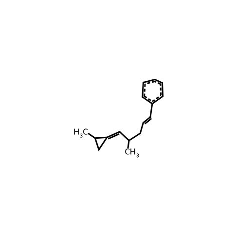 CC(C=C1CC1C)CC=Cc1ccccc1